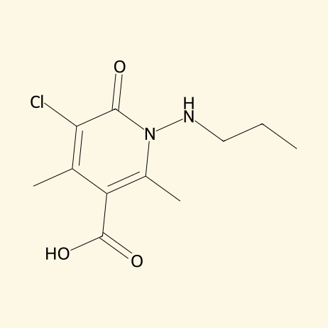 CCCNn1c(C)c(C(=O)O)c(C)c(Cl)c1=O